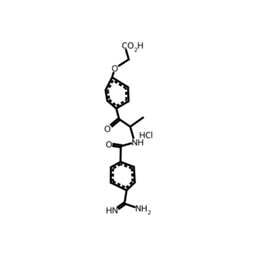 CC(NC(=O)c1ccc(C(=N)N)cc1)C(=O)c1ccc(OCC(=O)O)cc1.Cl